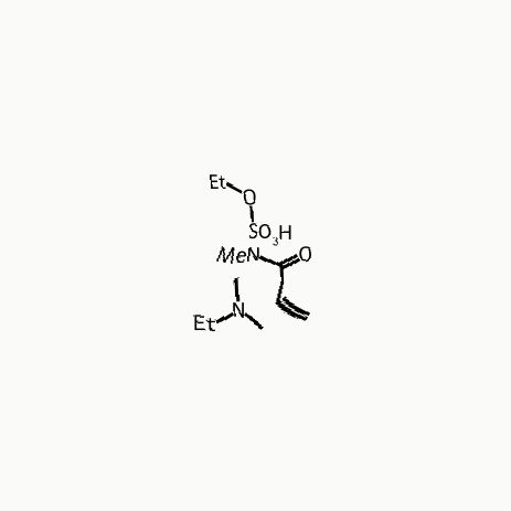 C=CC(=O)NC.CCN(C)C.CCOS(=O)(=O)O